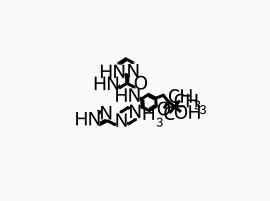 CC(C)(O)[C@]1(C)Cc2cc(NC(=O)/C(C=N)=C3\N=CC=CN3)c(N3CCN(Cc4c[nH]cn4)CC3)cc2O1